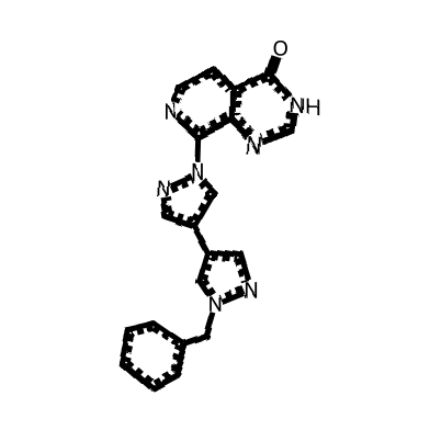 O=c1[nH]cnc2c(-n3cc(-c4cnn(Cc5ccccc5)c4)cn3)nccc12